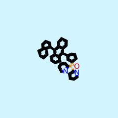 O=P(c1cccc(-c2c3ccccc3c(-c3cccc4ccccc34)c3ccccc23)c1)(c1ccccn1)c1ccccn1